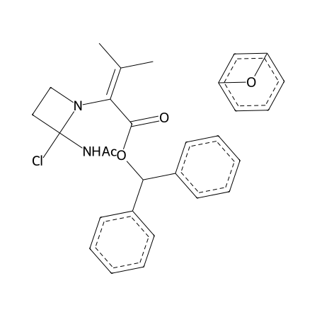 CC(=O)NC1(Cl)CCN1C(C(=O)OC(c1ccccc1)c1ccccc1)=C(C)C.c1cc2cc(c1)O2